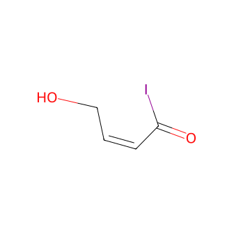 O=C(I)/C=C\CO